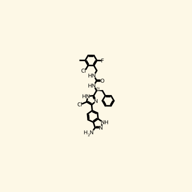 Cc1ccc(F)c(CNC(=O)N[C@@H](Cc2ccccc2)c2nc(-c3ccc4c(N)n[nH]c4c3)c(Cl)[nH]2)c1Cl